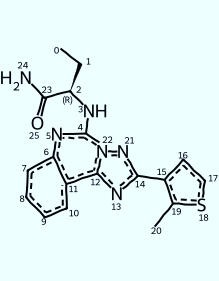 CC[C@@H](Nc1nc2ccccc2c2nc(-c3ccsc3C)nn12)C(N)=O